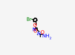 CC(C(N)=O)N(C)Cc1cc(OCc2cccc(Br)c2)no1